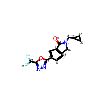 O=C1c2cc(-c3nnc(C(F)F)o3)ccc2CN1CC1CC1